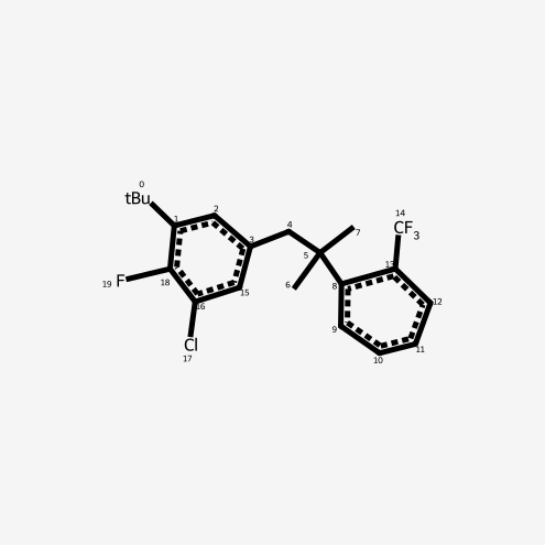 CC(C)(C)c1cc(CC(C)(C)c2ccccc2C(F)(F)F)cc(Cl)c1F